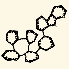 c1cc(-c2cccc3c2-c2ccccc2-c2ccccc2-c2ccccc2-3)cc(-c2cccc3c2sc2ncccc23)c1